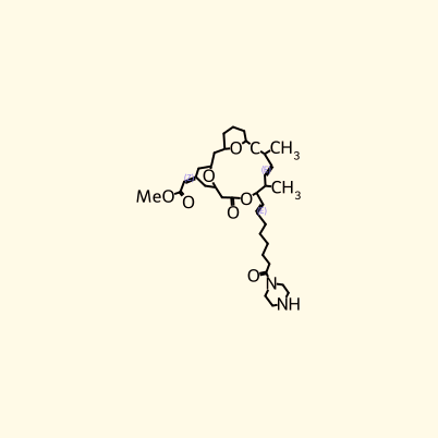 COC(=O)/C=C1\CC2CC(=O)OC(/C=C/CCCCCC(=O)N3CCNCC3)C(C)/C=C/C(C)CC3CCCC(CC(C1)O2)O3